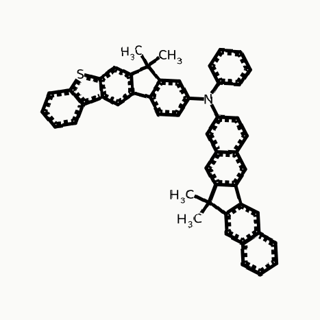 CC1(C)c2cc3ccccc3cc2-c2cc3ccc(N(c4ccccc4)c4ccc5c(c4)C(C)(C)c4cc6sc7ccccc7c6cc4-5)cc3cc21